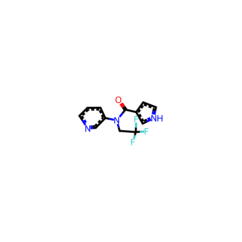 O=C(c1cc[nH]c1)N(CC(F)(F)F)c1cccnc1